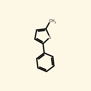 Cc1[c]cc(-c2ccccc2)s1